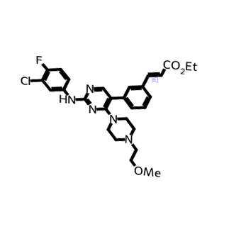 CCOC(=O)/C=C/c1cccc(-c2cnc(Nc3ccc(F)c(Cl)c3)nc2N2CCN(CCOC)CC2)c1